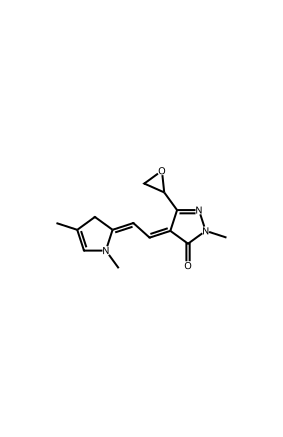 CC1=CN(C)/C(=C\C=C2\C(=O)N(C)N=C2C2CO2)C1